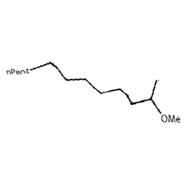 [CH2]C(CCCCCCCCCCC)OC